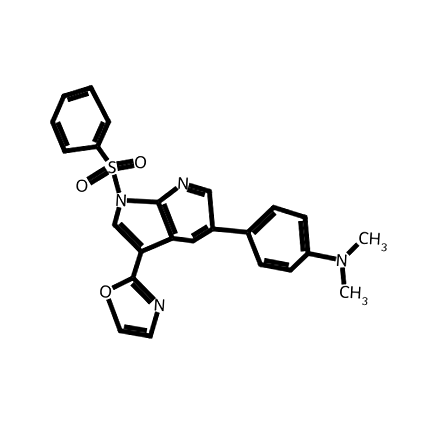 CN(C)c1ccc(-c2cnc3c(c2)c(-c2ncco2)cn3S(=O)(=O)c2ccccc2)cc1